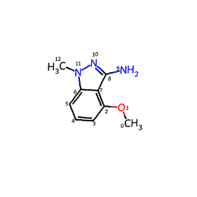 COc1cccc2c1c(N)nn2C